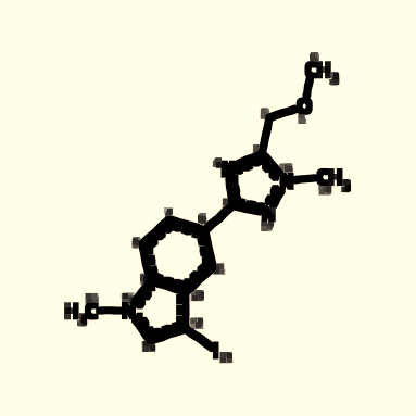 COCc1nc(-c2ccc3c(c2)c(I)cn3C)nn1C